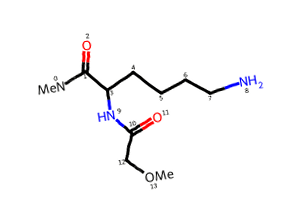 CNC(=O)C(CCCCN)NC(=O)COC